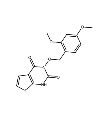 COc1ccc(COn2c(=O)[nH]c3sccc3c2=O)c(OC)c1